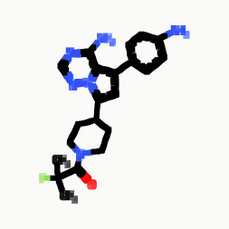 CC(C)(F)C(=O)N1CCC(c2cc(-c3ccc(N)cc3)c3c(N)ncnn23)CC1